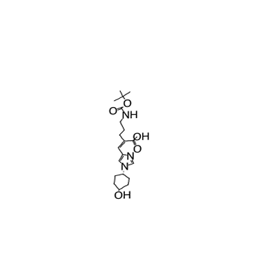 CC(C)(C)OC(=O)NCCCC(=Cc1cn([C@H]2CC[C@@H](O)CC2)cn1)C(=O)O